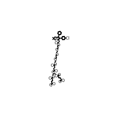 COC(=O)/C=C/C(=O)OCC(COC(=O)/C=C/C(=O)OC)OC(=O)CCC(=O)OCCOCCOCCOCCOC(=O)Cc1c(-c2ccc(Cl)cc2)c(-c2ccccc2)c2n1CC(C)(C)C2